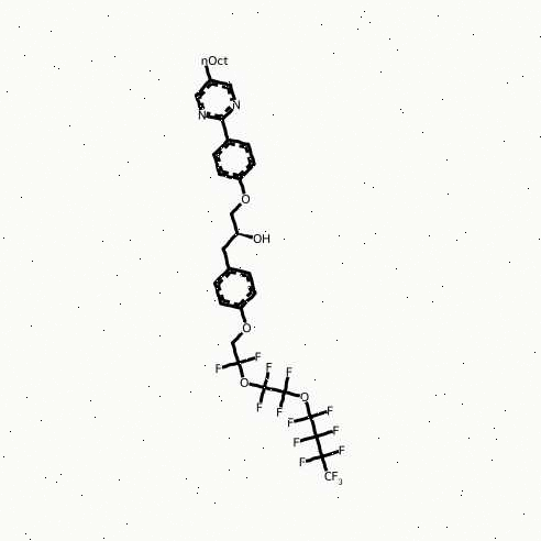 CCCCCCCCc1cnc(-c2ccc(OC[C@@H](O)Cc3ccc(OCC(F)(F)OC(F)(F)C(F)(F)OC(F)(F)C(F)(F)C(F)(F)C(F)(F)F)cc3)cc2)nc1